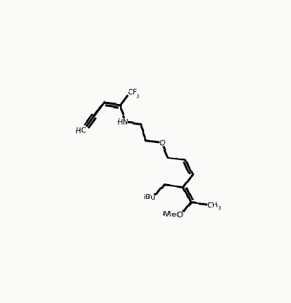 C#C/C=C(\NCCOC/C=C\C(CC(C)CC)=C(/C)OC)C(F)(F)F